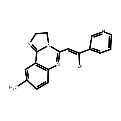 Cc1ccc2c(c1)C1=NCCN1C(/C=C(\O)c1cccnc1)=N2